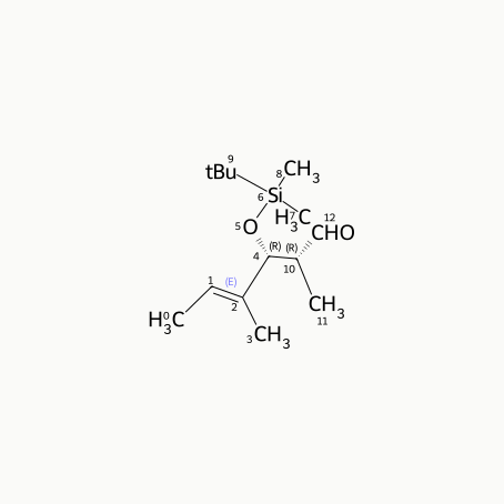 C/C=C(\C)[C@H](O[Si](C)(C)C(C)(C)C)[C@@H](C)C=O